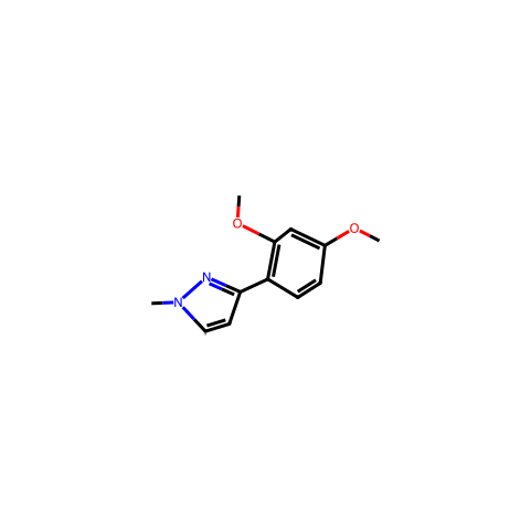 COc1ccc(-c2c[c]n(C)n2)c(OC)c1